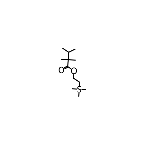 CC(C)C(C)(C)C(=O)OCCS(C)(C)C